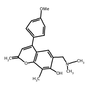 C=C1C=C(c2ccc(OC)cc2)c2cc(CN(C)C)c(O)c(C)c2O1